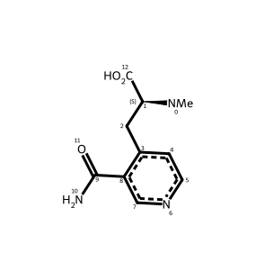 CN[C@@H](Cc1ccncc1C(N)=O)C(=O)O